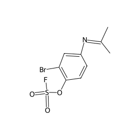 CC(C)=Nc1ccc(OS(=O)(=O)F)c(Br)c1